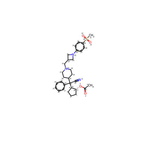 CC(=O)O[C@@H]1CCC[C@H]1C(C#N)(c1ccccc1)C1CCN(CC2CN(c3ccc(S(C)(=O)=O)cc3)C2)CC1